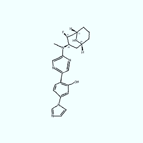 CN(c1cnc(-c2ccc(-n3ccnc3)cc2O)cn1)[C@@H]1C[C@H]2CCC[C@H](N2)[C@@H]1F